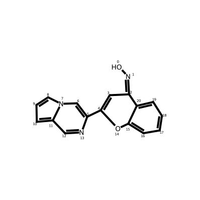 ON=c1cc(-c2cn3cccc3cn2)oc2ccccc12